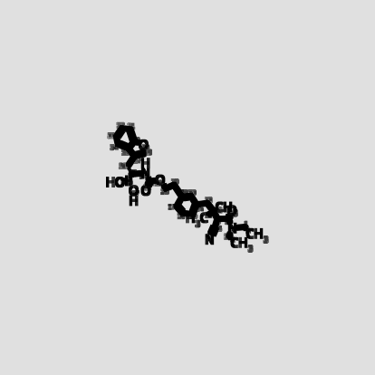 CCN(CC)C(=O)C(C#N)C(C)(C)Cc1cccc(CCOC(=O)N[C@@H](Cc2coc3ccccc23)B(O)O)c1